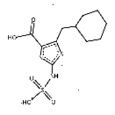 O=C(O)c1nc(NS(=O)(=O)O)sc1CC1CCCCC1